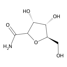 NC(=O)C1O[C@H](CO)[C@@H](O)[C@H]1O